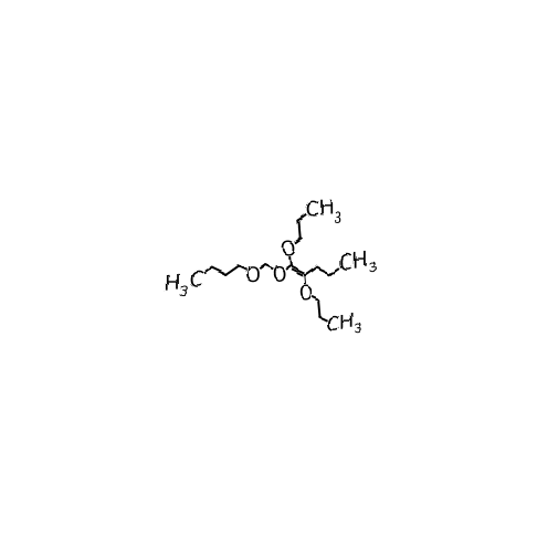 CCCCOCOC(OCCC)=C(CCC)OCCC